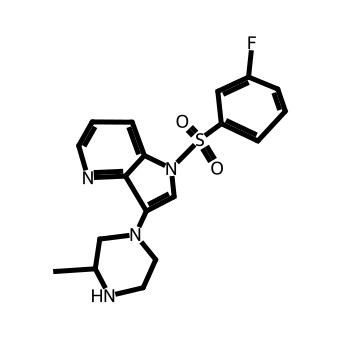 CC1CN(c2cn(S(=O)(=O)c3cccc(F)c3)c3cccnc23)CCN1